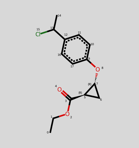 CCOC(=O)[C@@H]1C[C@H]1Oc1ccc(C(C)Cl)cc1